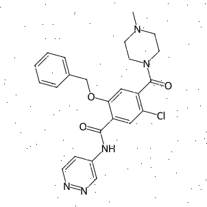 CN1CCN(C(=O)c2cc(OCc3ccccc3)c(C(=O)Nc3ccnnc3)cc2Cl)CC1